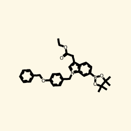 CCOC(=O)Cc1cn(Cc2ccc(OCc3ccccc3)cc2)c2cc(B3OC(C)(C)C(C)(C)O3)ccc12